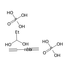 C#CCCCC.C#N.CCC(O)O.O=P(O)(O)O.O=P(O)(O)O